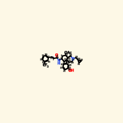 CC(=O)OC1CC(NC(=O)/C=C/c2cccc(C(F)(F)F)c2)CC2(c3cccc(O)c3)CCN(CC3CC3)CC12